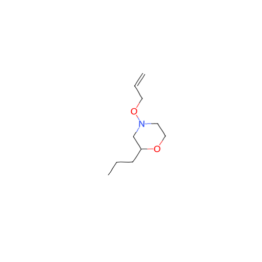 C=CCON1CCOC(CCC)C1